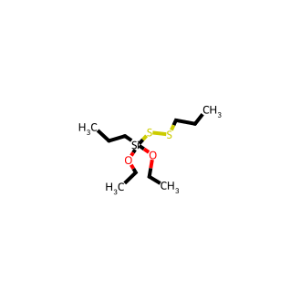 CCCSS[Si](CCC)(OCC)OCC